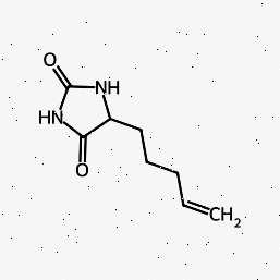 C=CCCCC1NC(=O)NC1=O